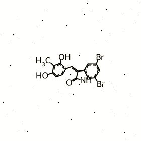 Cc1c(O)ccc(C=C2C(=O)Nc3c(Br)cc(Br)cc32)c1O